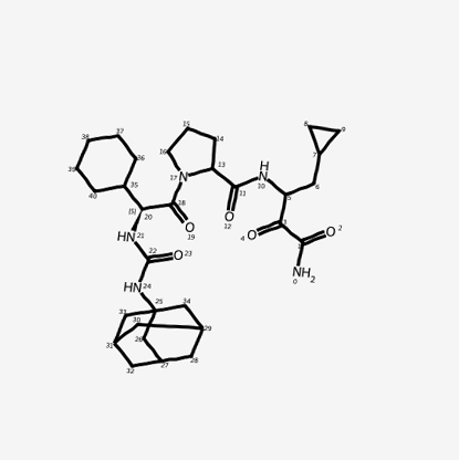 NC(=O)C(=O)C(CC1CC1)NC(=O)C1CCCN1C(=O)[C@@H](NC(=O)NC12CC3CC(CC(C3)C1)C2)C1CCCCC1